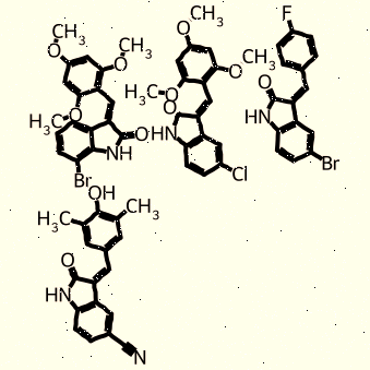 COc1cc(OC)c(C=C2C(=O)Nc3c(Br)cccc32)c(OC)c1.COc1cc(OC)c(C=C2C(=O)Nc3ccc(Cl)cc32)c(OC)c1.Cc1cc(C=C2C(=O)Nc3ccc(C#N)cc32)cc(C)c1O.O=C1Nc2ccc(Br)cc2C1=Cc1ccc(F)cc1